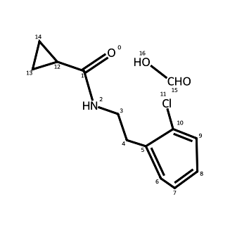 O=C(NCCc1ccccc1Cl)C1CC1.O=CO